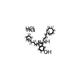 Cl.Cl.Oc1ccc2c(c1)c(NCCCN1CCCCCC1)nn2CCCN1CCCC1